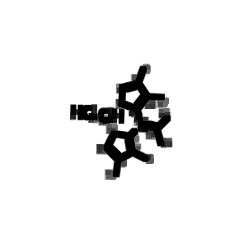 CC1=CC[C]([Ti]([C]2=C(C)C(C)=CC2)=[C](C)C)=C1C.Cl.Cl